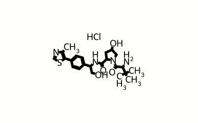 Cc1ncsc1-c1ccc(C(CO)NC(=O)C2CC(O)CN2C(=O)C(N)C(C)(C)C)cc1.Cl